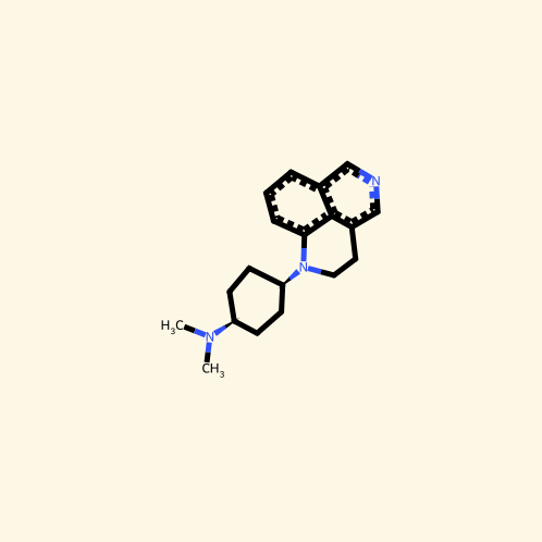 CN(C)[C@H]1CC[C@@H](N2CCc3cncc4cccc2c34)CC1